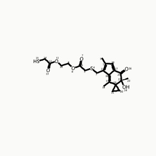 CC1=C(CSCC(=O)OCCOC(=O)CS)C2=C(C)C3(CC3)[C@@](C)(O)C(=O)C2=C1